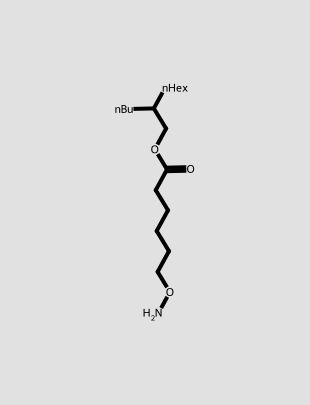 CCCCCCC(CCCC)COC(=O)CCCCCON